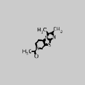 CC(=O)N1CCc2c(sc3nc(C)c(C)n23)C1